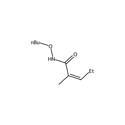 CCC=C(C)C(=O)NOCCCC